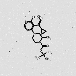 C/C=C(\c1c(C)ncnc1N1CCN(C(=O)OC(C)(C)C)C(C)C1)C1CC1